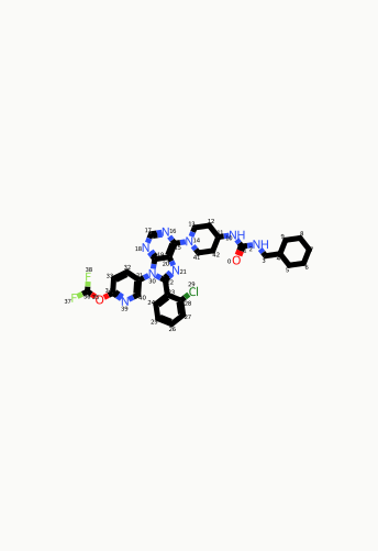 O=C(NCC1CCCCC1)NC1CCN(c2ncnc3c2nc(-c2ccccc2Cl)n3-c2ccc(OC(F)F)nc2)CC1